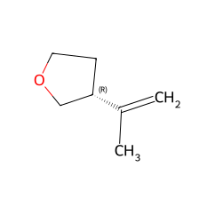 C=C(C)[C@H]1CCOC1